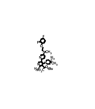 Cc1ncc(-c2ccc(N(C)CCOc3ccc(F)cc3F)cn2)c(N2CCC(C)(C)CC2)c1[C@H](OC(C)(C)C)C(=O)O